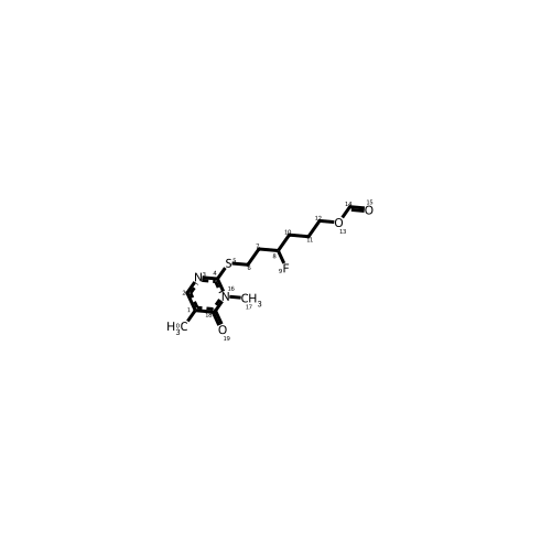 Cc1cnc(SCCC(F)CCCOC=O)n(C)c1=O